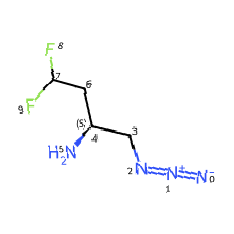 [N-]=[N+]=NC[C@@H](N)CC(F)F